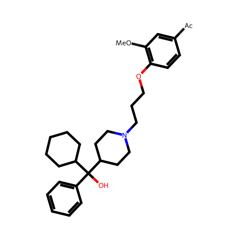 COc1cc(C(C)=O)ccc1OCCCN1CCC(C(O)(c2ccccc2)C2CCCCC2)CC1